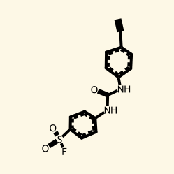 C#Cc1ccc(NC(=O)Nc2ccc(S(=O)(=O)F)cc2)cc1